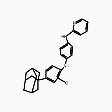 Clc1cc(C23CC4CC(CC(C4)C2)C3)ccc1Nc1ccc(Nc2ccccn2)cc1